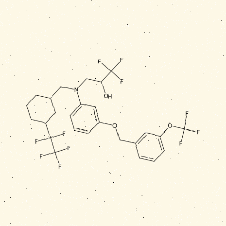 OC(CN(CC1CCCC(C(F)(F)C(F)(F)F)C1)c1cccc(OCc2cccc(OC(F)(F)F)c2)c1)C(F)(F)F